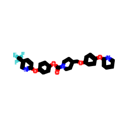 O=C(Oc1ccc(Oc2ccc(C(F)(F)F)cn2)cc1)N1CCC(COc2ccc(Oc3ccccn3)cc2)CC1